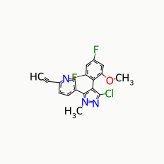 C#Cc1ccc(-c2c(-c3c(F)cc(F)cc3OC)c(Cl)nn2C)cn1